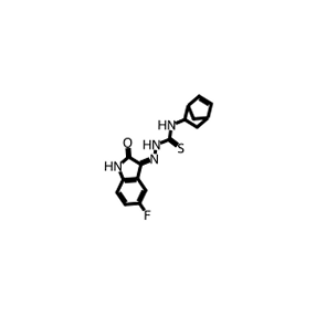 O=C1Nc2ccc(F)cc2C1=NNC(=S)NC1CC2C=CC1C2